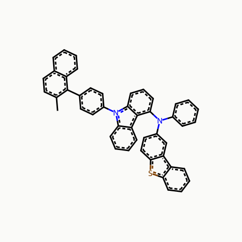 Cc1ccc2ccccc2c1-c1ccc(-n2c3ccccc3c3c(N(c4ccccc4)c4ccc5sc6ccccc6c5c4)cccc32)cc1